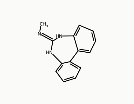 CN=C1Nc2ccccc2-c2ccccc2N1